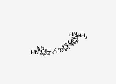 N=C(N)c1ccc(OCCCCCOc2ccc(-c3cc4ccc(C(=N)N)cc4o3)cc2)cc1